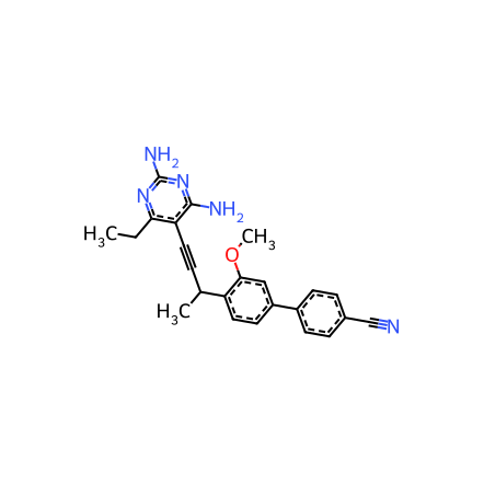 CCc1nc(N)nc(N)c1C#CC(C)c1ccc(-c2ccc(C#N)cc2)cc1OC